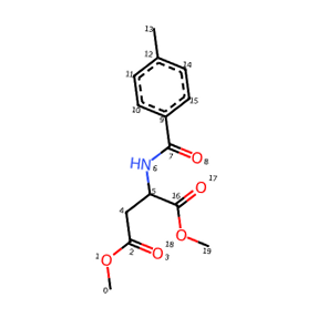 COC(=O)CC(NC(=O)c1ccc(C)cc1)C(=O)OC